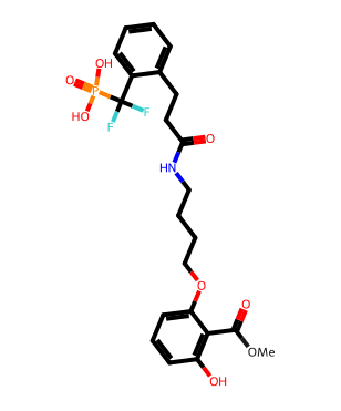 COC(=O)c1c(O)cccc1OCCCCNC(=O)CCc1ccccc1C(F)(F)P(=O)(O)O